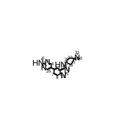 CNc1ncc(-c2ccc3ncnc(N[C@H]4CC[C@H](N(C)C)CC4)c3c2)cn1